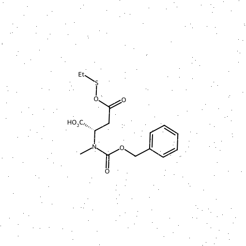 CCSOC(=O)C[C@@H](C(=O)O)N(C)C(=O)OCc1ccccc1